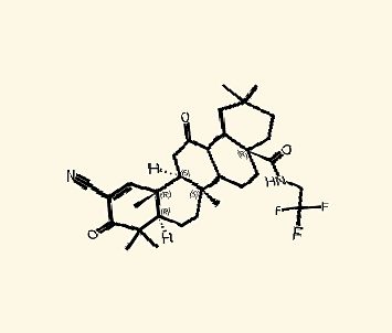 CC1(C)CC[C@]2(C(=O)NCC(F)(F)F)CCC3C(C(=O)C[C@@H]4[C@@]5(C)C=C(C#N)C(=O)C(C)(C)[C@@H]5CC[C@@]34C)C2C1